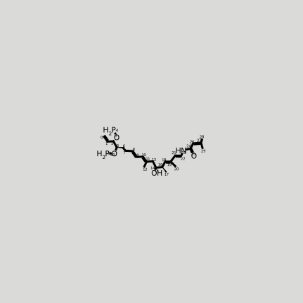 C=C[C@@H](OP)[C@@H](CC/C=C/C=C(\C)CC(O)[C@H](C)/C=C(C)/C=C/NC(=O)C=C(C)C)OP